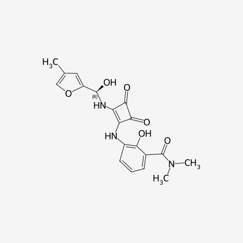 Cc1coc([C@@H](O)Nc2c(Nc3cccc(C(=O)N(C)C)c3O)c(=O)c2=O)c1